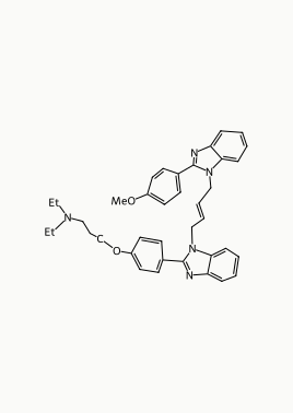 CCN(CC)CCCOc1ccc(-c2nc3ccccc3n2CC=CCn2c(-c3ccc(OC)cc3)nc3ccccc32)cc1